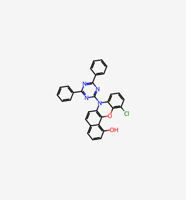 Oc1cccc2ccc3c(c12)Oc1c(Cl)cccc1N3c1nc(-c2ccccc2)nc(-c2ccccc2)n1